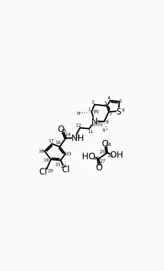 C[C@@H]1Cc2ccsc2[C@H](C)N1CCNC(=O)c1ccc(Cl)c(Cl)c1.O=C(O)C(=O)O